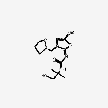 CC(C)(CO)NC(=O)N=c1sc(C(C)(C)C)cn1C[C@H]1CCCO1